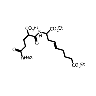 CCCCCCC(=O)CCC(C(=O)NC(CC=CCCCC(=O)OCC)C(=O)OCC)C(=O)OCC